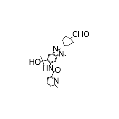 Cc1cccc(C(=O)Nc2cc3c(cc2C(C)(C)O)nc([C@H]2CC[C@H](C=O)CC2)n3C)n1